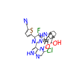 N#Cc1ccc(-c2nc(-c3c[nH]c4ncc(Cl)nc34)nc(N[C@@H]3C4CCC(CC4)[C@H]3C(=O)O)c2F)s1